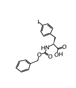 O=C(N[C@@H](Cc1ccc(I)cc1)C(=O)O)OCc1ccccc1